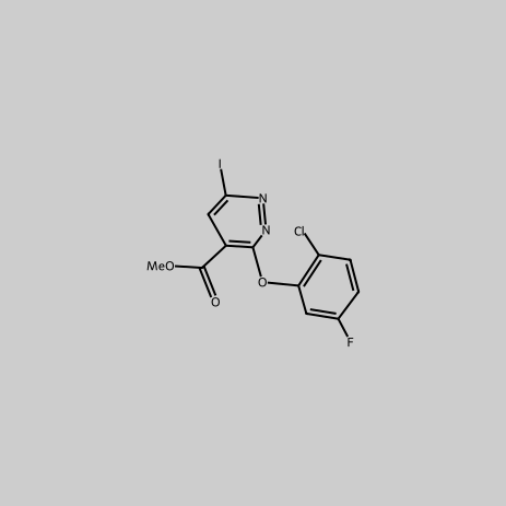 COC(=O)c1cc(I)nnc1Oc1cc(F)ccc1Cl